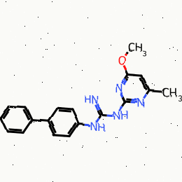 COc1cc(C)nc(NC(=N)Nc2ccc(-c3ccccc3)cc2)n1